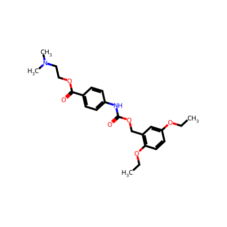 CCOc1ccc(OCC)c(COC(=O)Nc2ccc(C(=O)OCCN(C)C)cc2)c1